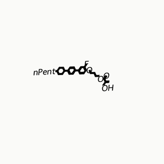 C=C(CO)C(=O)OCCCCOc1ccc(-c2ccc(C3CCC(CCCCC)CC3)cc2)cc1F